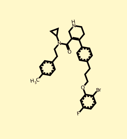 Cc1ccc(CCN(C(=O)C2=C(c3ccc(CCCOc4cc(F)ccc4Br)cc3)CCNC2)C2CC2)cc1